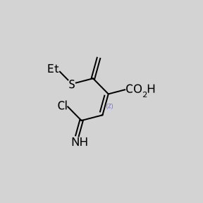 C=C(SCC)/C(=C\C(=N)Cl)C(=O)O